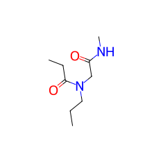 CCCN(CC(=O)NC)C(=O)CC